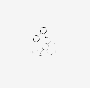 CC(C)C[C@H](NC(=O)[C@H](CO)NC(=O)c1ccccc1-c1ccccc1)C(=O)[C@]1(CO)CO1